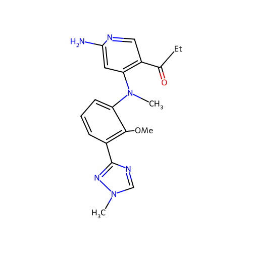 CCC(=O)c1cnc(N)cc1N(C)c1cccc(-c2ncn(C)n2)c1OC